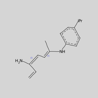 C=C/C(N)=C\C=C(/C)Nc1ccc(C(C)C)cc1